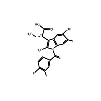 CC[C@H](C(=O)O)c1c(C)n(C(=O)c2ccc(F)c(F)c2)c2cc(F)c(O)cc12